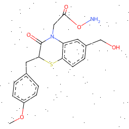 COc1ccc(CC2Sc3ccc(CO)cc3N(CC(=O)ON)C2=O)cc1